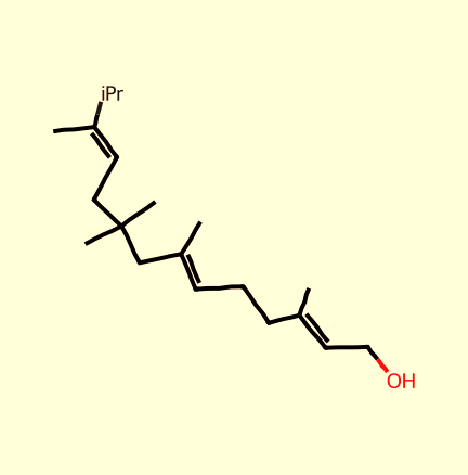 C/C(=C\CO)CC/C=C(\C)CC(C)(C)C/C=C(\C)C(C)C